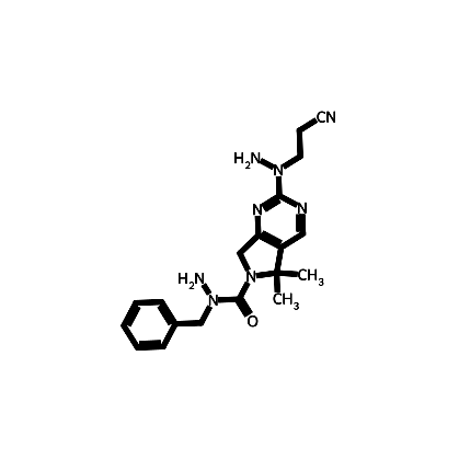 CC1(C)c2cnc(N(N)CCC#N)nc2CN1C(=O)N(N)Cc1ccccc1